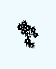 c1ccc(C(c2ccccc2)(c2ccccc2)c2cccc(-c3nc(-c4ccc5oc6ncccc6c5c4)nc(-n4c5ccccc5c5ccccc54)n3)c2)cc1